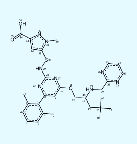 Cc1cccc(C)c1-c1cc(OC[C@@H](CC(C)(C)C)NCc2ncccn2)nc(NSc2cc(C(=O)O)nn2C)n1